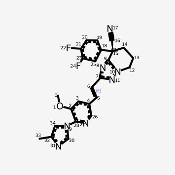 COc1cc(/C=C/c2nc3n(n2)CCC[C@@]3(C#N)c2ccc(F)c(F)c2)cnc1-n1cnc(C)c1